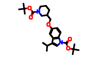 CC(C)c1cn(C(=O)OC(C)(C)C)c2ccc(OCC3CCCN(C(=O)OC(C)(C)C)C3)cc12